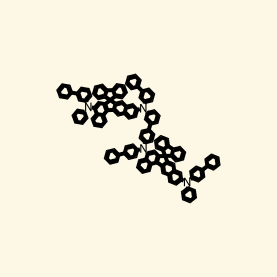 c1ccc(-c2ccc(N(c3ccccc3)c3ccc4cc5c(cc4c3)C3(c4ccccc4-c4ccccc43)c3cc(N(c4ccc(-c6ccccc6)cc4)c4ccc(-c6cccc(N(c7cccc(-c8ccccc8)c7)c7ccc8cc9c(cc8c7)C7(c8ccccc8-c8ccccc87)c7cc(N(c8ccccc8)c8cccc(-c%10ccccc%10)c8)c8ccccc8c7-9)c6)cc4)c4ccccc4c3-5)cc2)cc1